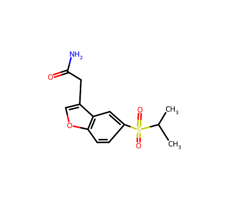 CC(C)S(=O)(=O)c1ccc2occ(CC(N)=O)c2c1